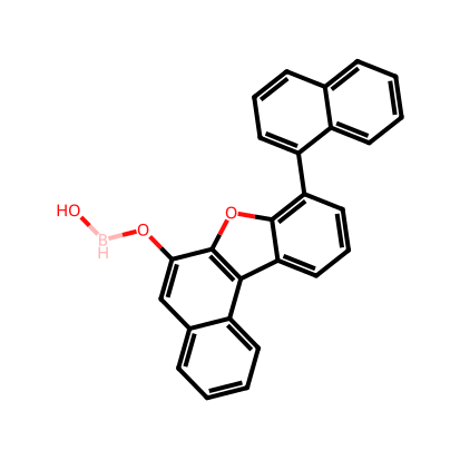 OBOc1cc2ccccc2c2c1oc1c(-c3cccc4ccccc34)cccc12